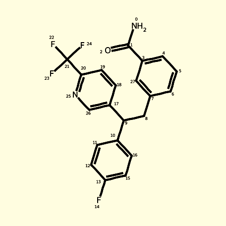 NC(=O)c1cccc(CC(c2ccc(F)cc2)c2ccc(C(F)(F)F)nc2)c1